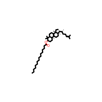 CCCCCCCCCCCCCCCC(=O)OC1CC[C@]2(C)C3=C(CCC2C1(C)C)[C@]1(C)CC[C@H]([C@H](C)CCC=C(C)C)[C@@]1(C)CC3